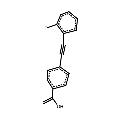 C=C(O)c1ccc(C#Cc2ccccc2F)cc1